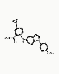 COC(=O)c1cc(C2CC2)ccc1Nc1ccc2c(ccn2-c2ccc(OC)cc2)c1